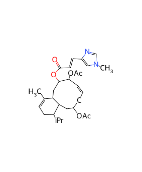 CC(=O)OC1C/C=C\C(OC(C)=O)C(OC(=O)C=Cc2cn(C)cn2)CC2C(C)=CCC(C(C)C)C2C1